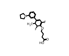 CC1C(c2cccc(N3CCCC3)c2)=CC(F)=C(OCCCC(=O)O)C1F